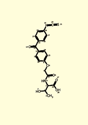 CC(O)C(NC(=O)COc1ccc(C(=O)c2ccc(N=C=S)cc2)cc1)C(=O)O